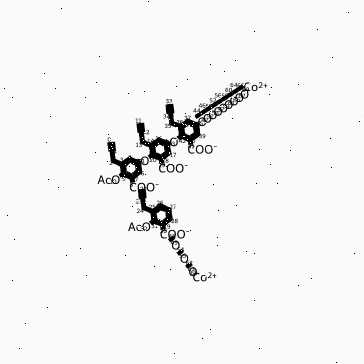 C#CCc1cccc(C(=O)[O-])c1OC(C)=O.C#CCc1cccc(C(=O)[O-])c1OC(C)=O.C#CCc1cccc(C(=O)[O-])c1OC(C)=O.C#CCc1cccc(C(=O)[O-])c1OC(C)=O.[C]=O.[C]=O.[C]=O.[C]=O.[C]=O.[C]=O.[C]=O.[C]=O.[C]=O.[C]=O.[C]=O.[C]=O.[Co+2].[Co+2]